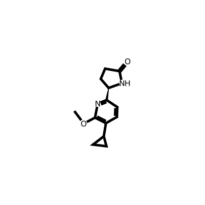 COc1nc([C@H]2CCC(=O)N2)ccc1C1CC1